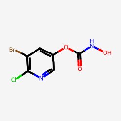 O=C(NO)Oc1cnc(Cl)c(Br)c1